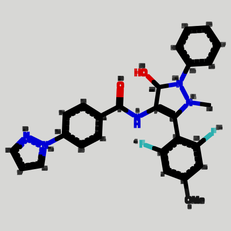 COc1cc(F)c(C2=C(NC(=O)c3ccc(-n4cccn4)cc3)C(O)N(c3ccccc3)N2C)c(F)c1